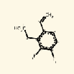 C=Cc1ccc(F)c(F)c1CC(=O)O